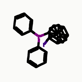 I[C]12[CH]3[CH]4[CH]5[CH]1[Fe]45321678[CH]2[CH]1[CH]6[C]7(P(c1ccccc1)c1ccccc1)[CH]28